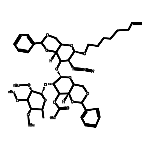 C=CCCCCCCO[C@@H]1OC2COC(c3ccccc3)O[C@H]2C(O[C@@H]2OC3COC(c4ccccc4)O[C@@H]3C(OC(=O)C(C)(C)C)[C@@H]2O[C@@H]2OC(C)[C@@H](OCCCC)C(OCCCC)[C@@H]2OCCCC)[C@@H]1N=[N+]=[N-]